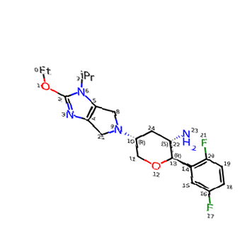 CCOc1nc2c(n1C(C)C)CN([C@H]1CO[C@H](c3cc(F)ccc3F)[C@@H](N)C1)C2